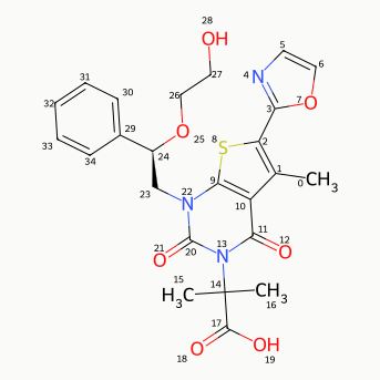 Cc1c(-c2ncco2)sc2c1c(=O)n(C(C)(C)C(=O)O)c(=O)n2C[C@H](OCCO)c1ccccc1